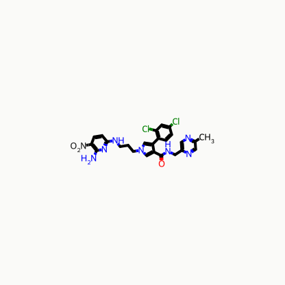 Cc1cnc(CNC(=O)c2cn(CCCNc3ccc([N+](=O)[O-])c(N)n3)cc2-c2ccc(Cl)cc2Cl)cn1